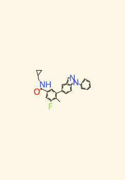 Cc1c(F)cc(C(=O)NCC2CC2)cc1-c1ccc2c(cnn2-c2ccccc2)c1